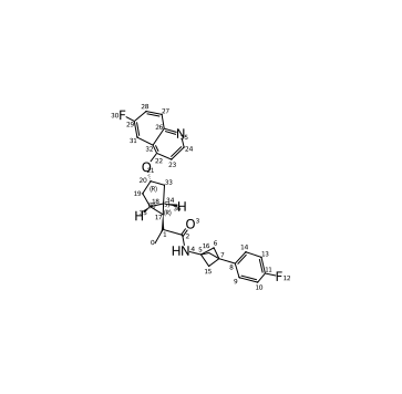 CC(C(=O)NC12CC(c3ccc(F)cc3)(C1)C2)[C@H]1[C@@H]2C[C@H](Oc3ccnc4ccc(F)cc34)C[C@@H]21